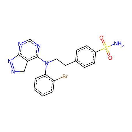 NS(=O)(=O)c1ccc(CCN(c2ccccc2Br)c2ncnc3c2CN=N3)cc1